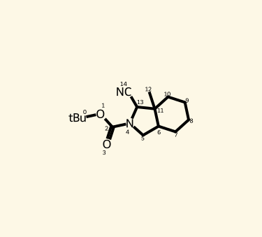 CC(C)(C)OC(=O)N1CC2CCCCC2(C)C1C#N